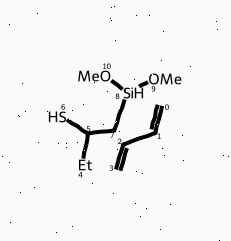 C=CC=C.CCC(S)C[SiH](OC)OC